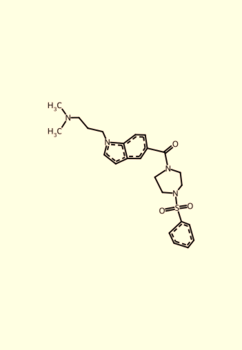 CN(C)CCCn1ccc2cc(C(=O)N3CCN(S(=O)(=O)c4ccccc4)CC3)ccc21